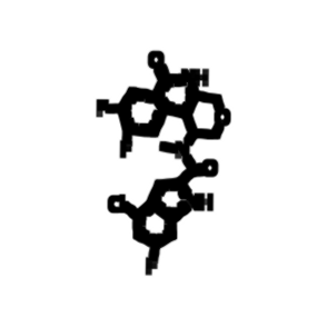 CN(C(=O)c1cc2c(Cl)cc(F)cc2[nH]1)C1COCc2[nH]c(=O)c3cc(F)c(F)cc3c21